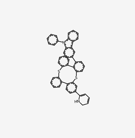 C1=CCNC(c2ccc3c(c2)Sc2cccc(-c4ccc5c(c4)c4ccccc4n5-c4ccccc4)c2-c2ccccc2Sc2ccccc2-3)=C1